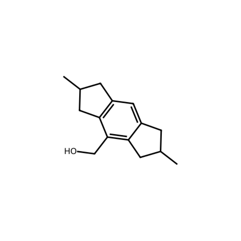 CC1Cc2cc3c(c(CO)c2C1)CC(C)C3